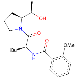 CCC(C)[C@H](NC(=O)c1ccccc1OC)C(=O)N1CCC[C@H]1[C@@H](C)O